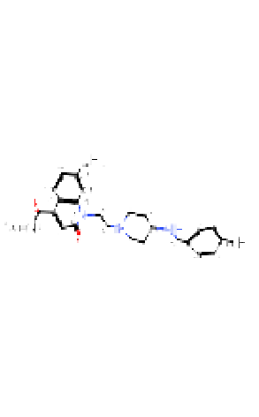 CNC(=O)c1cc(=O)n(CCN2CCC(NCc3ccc(C(C)(C)C)cc3)CC2)c2cc(C)ccc12